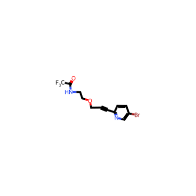 O=C(NCCOCC#Cc1ccc(Br)cn1)C(F)(F)F